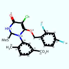 CSC1NC(=O)C(Cl)=C(OCc2ccc(F)cc2F)N1c1cc(C(=O)O)ccc1C